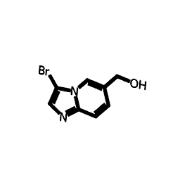 OCc1ccc2ncc(Br)n2c1